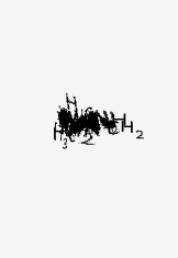 C=CCNc1cnc(-c2ccc(C(=O)Nc3ccccc3N)c(C)c2)c(C#N)c1